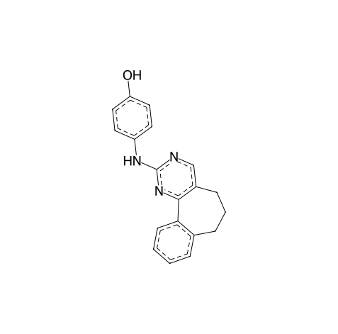 Oc1ccc(Nc2ncc3c(n2)-c2ccccc2CCC3)cc1